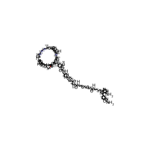 CO[C@H]1C[C@@H]2CC[C@@H](C)[C@@](O)(O2)C(=O)C(=O)N2CCCC[C@H]2C(=O)O[C@H]([C@H](C)C[C@@H]2CC[C@@H](OC(=O)NCc3cnc(N4CCN(C(=O)CN(C)CC(=O)NCCOCCOCCC(=O)NCCCCn5nc(-c6ccc7oc(N)nc7c6)c6c(N)ncnc65)CC4)nc3)[C@H](OC)C2)C[C@@H](OC)[C@H](C)/C=C(\C)[C@@H](O)[C@@H](OC)C(=O)[C@H](C)C[C@H](C)/C=C/C=C/C=C/1C